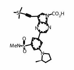 CNS(=O)(=O)c1cc(-c2cnc3c(n2)c(C#C[Si](C)(C)C)cn3C(=O)O)cc(N2CCC[C@H]2C)c1